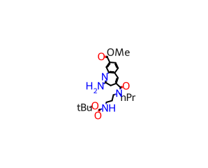 CCCN(CCCNC(=O)OC(C)(C)C)C(=O)C1=Cc2ccc(C(=O)OC)cc2N=C(N)C1